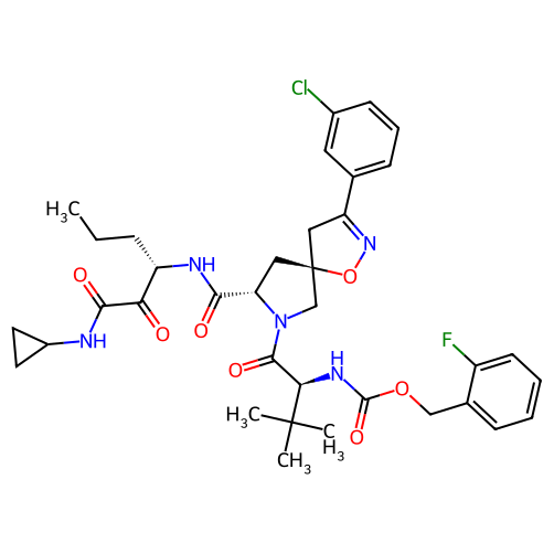 CCC[C@H](NC(=O)[C@@H]1C[C@]2(CC(c3cccc(Cl)c3)=NO2)CN1C(=O)[C@@H](NC(=O)OCc1ccccc1F)C(C)(C)C)C(=O)C(=O)NC1CC1